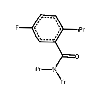 CCN(C(=O)c1cc(F)ccc1C(C)C)C(C)C